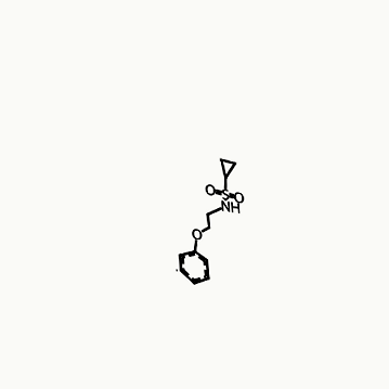 O=S(=O)(NCCOc1c[c]ccc1)C1CC1